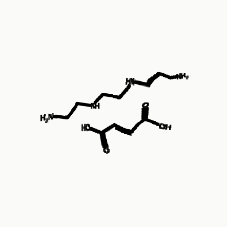 NCCNCCNCCN.O=C(O)/C=C/C(=O)O